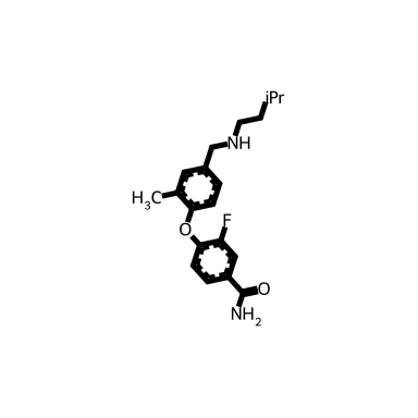 Cc1cc(CNCCC(C)C)ccc1Oc1ccc(C(N)=O)cc1F